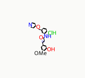 COc1ccc(/C=C/C(=O)Nc2cccc(COc3ccncc3)c2)cc1O.Cl